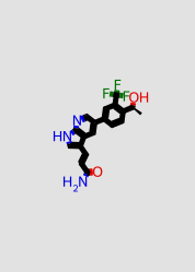 C[C@H](O)c1ccc(-c2cnc3[nH]cc(C=CC(N)=O)c3c2)cc1C(F)(F)F